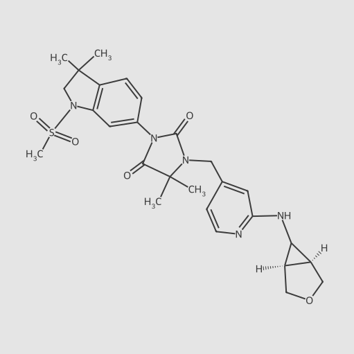 CC1(C)CN(S(C)(=O)=O)c2cc(N3C(=O)N(Cc4ccnc(NC5[C@H]6COC[C@@H]56)c4)C(C)(C)C3=O)ccc21